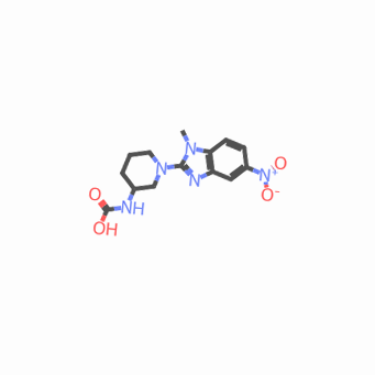 Cn1c(N2CCCC(NC(=O)O)C2)nc2cc([N+](=O)[O-])ccc21